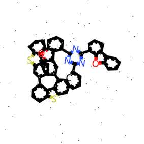 c1ccc(-c2nc(-c3cccc4c3oc3ccccc34)nc(-c3cccc4oc5ccc(-c6cccc7sc8cccc(-c9ccc%10c(c9)sc9ccccc9%10)c8c67)cc5c34)n2)cc1